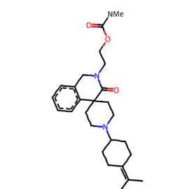 CNC(=O)OCCN1Cc2ccccc2C2(CCN(C3CCC(=C(C)C)CC3)CC2)C1=O